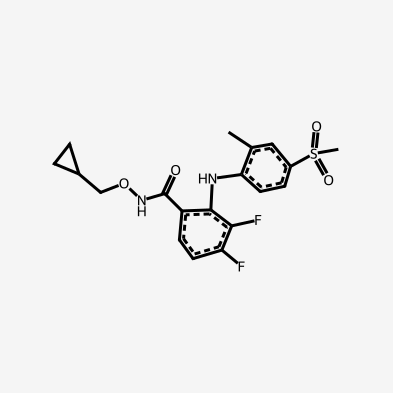 Cc1cc(S(C)(=O)=O)ccc1Nc1c(C(=O)NOCC2CC2)ccc(F)c1F